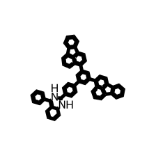 C1=CC2=C(c3ccccc3)NC(c3ccc(-c4cc(-c5ccc6c7c(cccc57)-c5ccccc5-6)cc(-c5ccc6c7c(cccc57)-c5ccccc5-6)c4)cc3)NC2C=C1